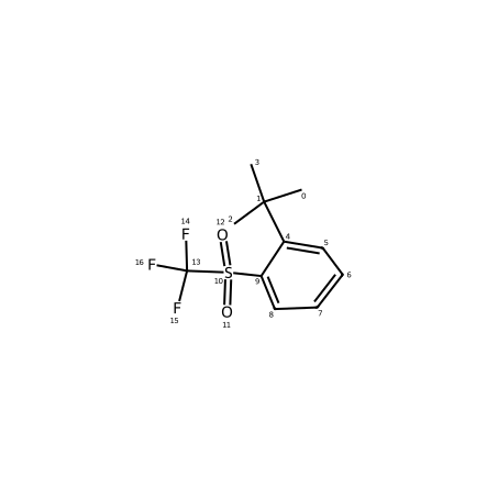 CC(C)(C)c1ccccc1S(=O)(=O)C(F)(F)F